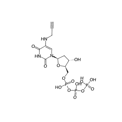 C#CCNc1cn([C@H]2C[C@H](O)[C@@H](COP(=O)(O)OP(=O)(O)OP(=O)(O)O)O2)c(=O)[nH]c1=O